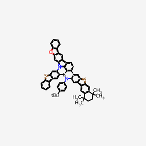 CC(C)(C)c1ccc(N2B3c4cc5c(cc4-n4c6cc7oc8ccccc8c7cc6c6ccc(c3c64)-c3cc4sc6cc7c(cc6c4cc32)C(C)(C)CCC7(C)C)sc2ccccc25)cc1